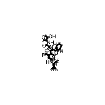 O=C(N[C@H]1COC[C@@H]1O)c1nc(C(=O)N2[C@H]3CC[C@@H]2CC3)c(-c2cnc(N[C@@H](C3CC3)C(F)(F)F)cc2C(F)F)s1